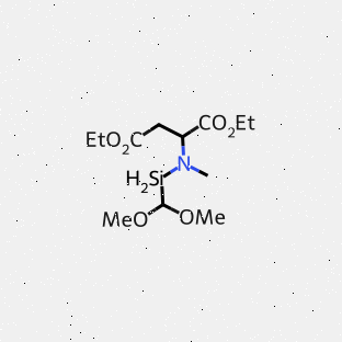 CCOC(=O)CC(C(=O)OCC)N(C)[SiH2]C(OC)OC